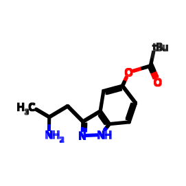 CC(N)Cc1n[nH]c2ccc(OC(=O)C(C)(C)C)cc12